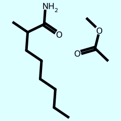 CCCCCCC(C)C(N)=O.COC(C)=O